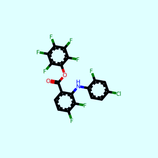 O=C(Oc1c(F)c(F)c(F)c(F)c1F)c1ccc(F)c(F)c1Nc1ccc(Cl)cc1F